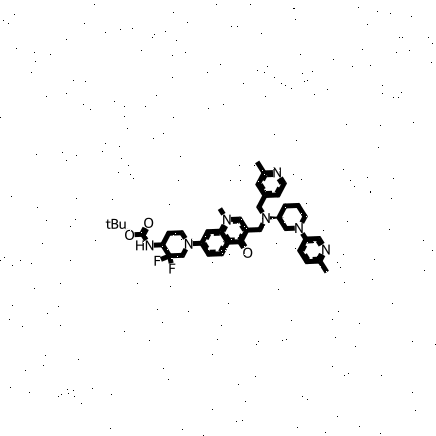 Cc1ccc(N2CCC[C@H](N(Cc3ccnc(C)c3)Cc3cn(C)c4cc(N5CCC(NC(=O)OC(C)(C)C)C(F)(F)C5)ccc4c3=O)C2)cn1